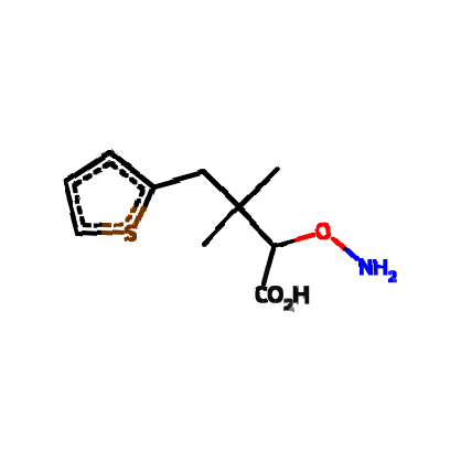 CC(C)(Cc1cccs1)C(ON)C(=O)O